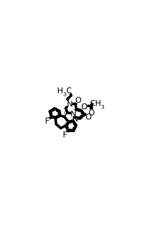 CCCN1C[C@H](C2c3cccc(F)c3CCc3c(F)cccc32)n2ncc(=O)c(OC(C)=O)c2C1=O